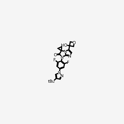 CC(C)(C)c1cnn(-c2cc(F)c(N3C(=O)C4(CC4)n4c(C5(O)COC5)cnc43)c(F)c2)c1